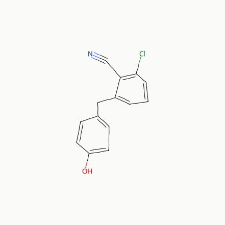 N#Cc1c(Cl)cccc1Cc1ccc(O)cc1